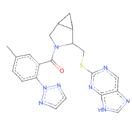 Cc1ccc(-n2nccn2)c(C(=O)N2CC3CC3C2CSc2ncc3nc[nH]c3n2)c1